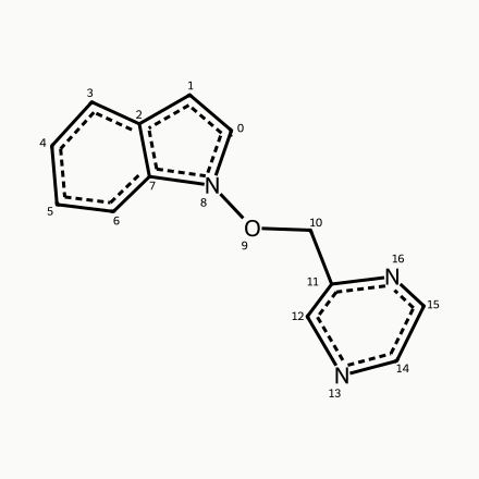 [c]1cc2ccccc2n1OCc1cnccn1